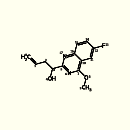 C=CCC(O)c1nc(OC)c2cc(F)ccc2n1